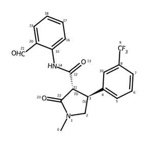 CN1C[C@H](c2cccc(C(F)(F)F)c2)[C@@H](C(=O)Nc2ccccc2C=O)C1=O